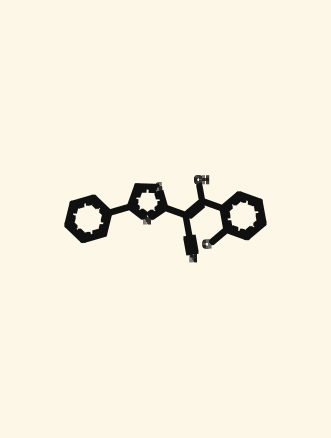 N#CC(=C(O)c1ccccc1Cl)c1nc(-c2ccccc2)cs1